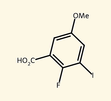 COc1cc(I)c(F)c(C(=O)O)c1